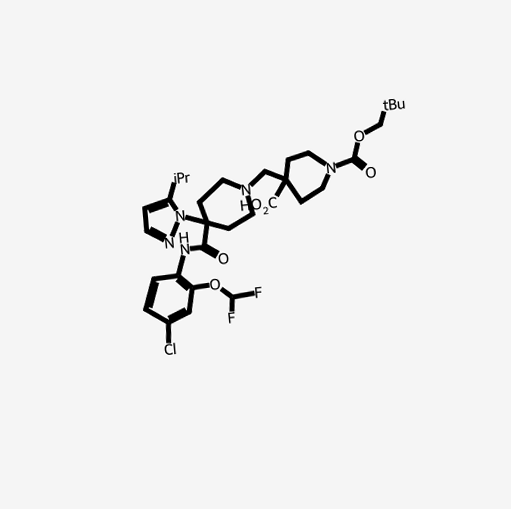 CC(C)c1ccnn1C1(C(=O)Nc2ccc(Cl)cc2OC(F)F)CCN(CC2(C(=O)O)CCN(C(=O)OCC(C)(C)C)CC2)CC1